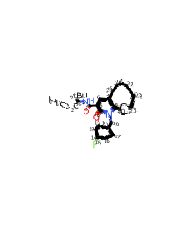 CC(C)(C)C(NC(=O)c1cc2c(n(Cc3ccc(F)cc3)c1=O)CCCCCC2)C(=O)O